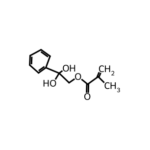 C=C(C)C(=O)OCC(O)(O)c1ccccc1